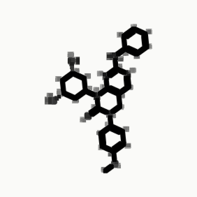 COc1ccc(N2Cc3cnc(Nc4ccccc4)nc3N(C3C[C@@H](O)C[C@@H](O)C3)C2=O)cc1